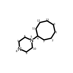 C1CCCC(N2CC[N]CC2)CCC1